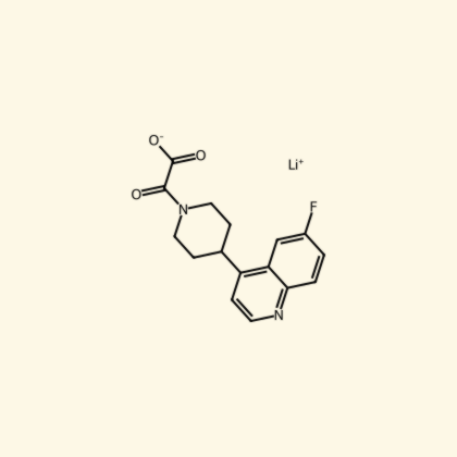 O=C([O-])C(=O)N1CCC(c2ccnc3ccc(F)cc23)CC1.[Li+]